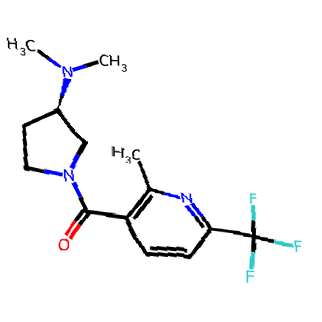 Cc1nc(C(F)(F)F)ccc1C(=O)N1CC[C@@H](N(C)C)C1